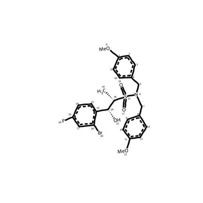 COc1ccc(CN(Cc2ccc(OC)cc2)S(=O)(=O)[C@@H](C)[C@H](O)c2ccc(F)cc2Br)cc1